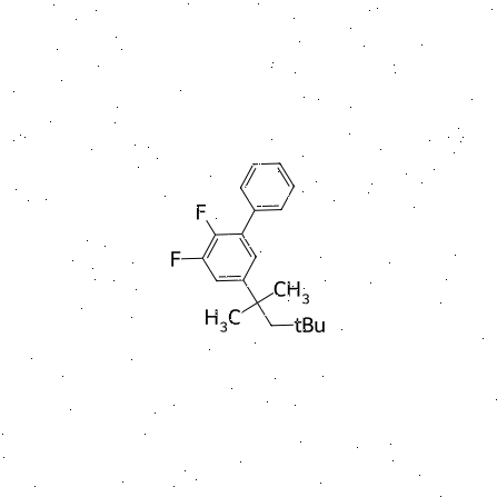 CC(C)(C)CC(C)(C)c1cc(F)c(F)c(-c2ccccc2)c1